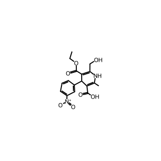 CCOC(=O)C1=C(CO)NC(C)=C(C(=O)O)C1c1cccc([N+](=O)[O-])c1